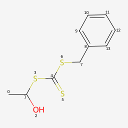 CC(O)SC(=S)SCc1ccccc1